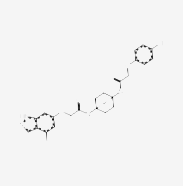 O=C(COc1ccc(Cl)cc1)NC12CCC(NC(=O)COc3cc(F)c4cn[nH]c4c3)(CC1)CC2